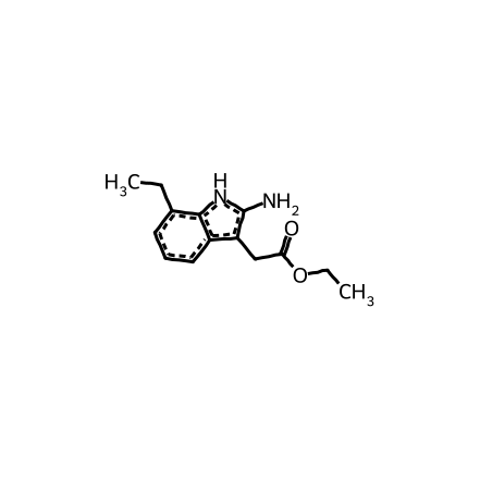 CCOC(=O)Cc1c(N)[nH]c2c(CC)cccc12